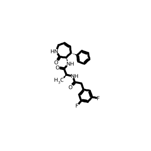 C[C@H](NC(=O)Cc1cc(F)cc(F)c1)C(=O)N[C@@H]1C(=O)NCC=C[C@@H]1c1ccccc1